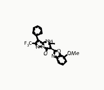 COc1cccc2nc(-c3c(C)[nH]c4c(-c5ccccc5)c(C(F)(F)F)nn4c3=O)oc12